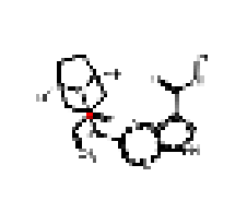 C=CC(=O)N1[C@@H]2CC[C@H]1C[C@@H](Nc1cnc3[nH]cc(C(=O)NC(C)C)c3n1)C2